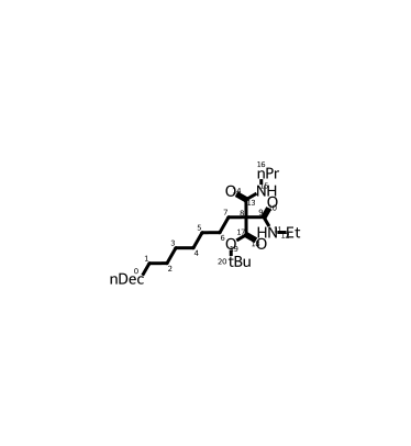 CCCCCCCCCCCCCCCCCC(C(=O)NCC)(C(=O)NCCC)C(=O)OC(C)(C)C